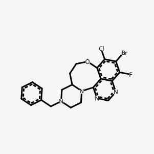 Fc1c(Br)c(Cl)c2c3c(ncnc13)N1CCN(Cc3ccccc3)CC1CCO2